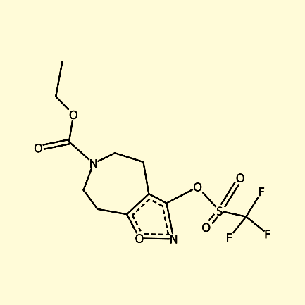 CCOC(=O)N1CCc2onc(OS(=O)(=O)C(F)(F)F)c2CC1